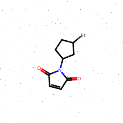 CCC1CCC(N2C(=O)C=CC2=O)C1